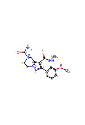 CC(C)(C)NC(=O)c1c(-c2cccc(OC(F)(F)F)c2)nn2c1CN(C(N)=O)CC2